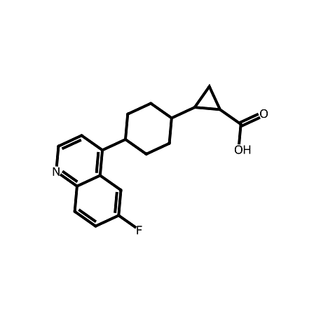 O=C(O)C1CC1C1CCC(c2ccnc3ccc(F)cc23)CC1